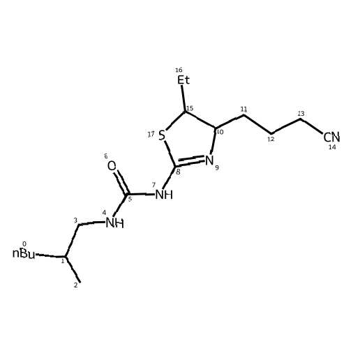 CCCCC(C)CNC(=O)NC1=NC(CCCC#N)C(CC)S1